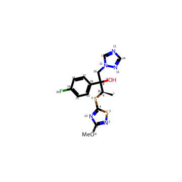 COc1nsc(S[C@H](C)C(O)(Cn2cncn2)c2ccc(F)cc2)n1